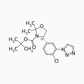 CC(C)(C)OC(=O)N1[C@@H](c2ccc(Cl)c(-n3ccnn3)c2)COC1(C)C